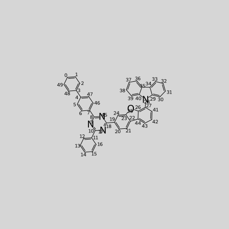 c1ccc(-c2ccc(-c3nc(-c4ccccc4)nc(-c4ccc5c(c4)oc4c(-n6c7ccccc7c7ccccc76)cccc45)n3)cc2)cc1